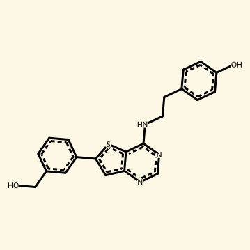 OCc1cccc(-c2cc3ncnc(NCCc4ccc(O)cc4)c3s2)c1